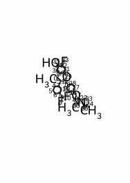 CC1=C(c2cccc(C(F)F)c2)C(c2ccc(OC[C@H](C)N3CCC[C@H]3C)cc2)Oc2cc(F)c(O)cc21